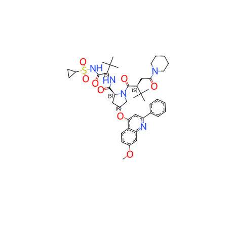 COc1ccc2c(O[C@@H]3C[C@@H](C(=O)N[C@H](C(=O)NS(=O)(=O)C4CC4)C(C)(C)C)N(C(=O)[C@@H](CC(=O)N4CCCCC4)C(C)(C)C)C3)cc(-c3ccccc3)nc2c1